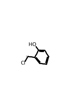 Oc1ccccc1[C]Cl